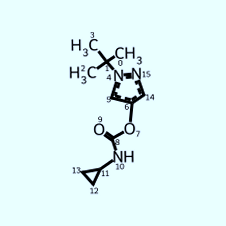 CC(C)(C)n1cc(OC(=O)NC2CC2)cn1